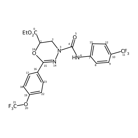 CCOC(=O)C1CN(C(=O)Nc2ccc(C(F)(F)F)cc2)N=C(c2ccc(OC(F)(F)F)cc2)O1